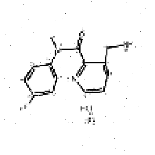 CN(C(=O)c1ncccc1CN)c1ccc(F)cc1.Cl.Cl